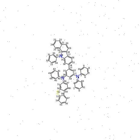 c1ccc(N(c2ccccc2)c2cc(-c3ccc4c5ccc6ccccc6c5n(-c5ccccc5)c4c3)cc(N(c3ccccc3)c3ccc4c(c3)sc3ccccc34)c2)cc1